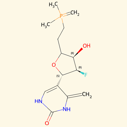 C=C1NC(=O)NC=C1[C@@H]1OC(CCP(=C)(C)C)[C@@H](O)[C@H]1F